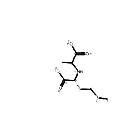 CSCC[C@@H](NC(C)C(=O)O)C(=O)O